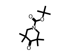 CC(C)(C)OC(=O)N1CC(C)(C)C(=O)C(C)(C)C1